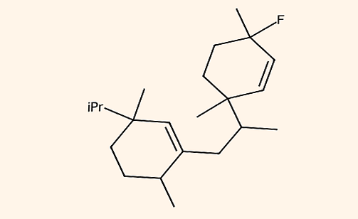 CC1CCC(C)(C(C)C)C=C1CC(C)C1(C)C=CC(C)(F)CC1